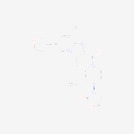 CO[C@@H]1CN(C(=O)c2nc3c(C(F)(F)F)cc(-c4ccoc4)cn3c2Cl)CC[C@H]1N1CCOC1=O